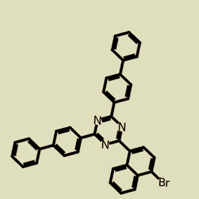 Brc1ccc(-c2nc(-c3ccc(-c4ccccc4)cc3)nc(-c3ccc(-c4ccccc4)cc3)n2)c2ccccc12